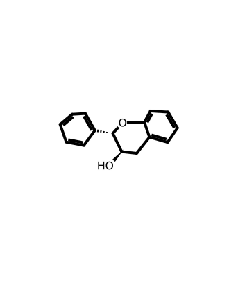 O[C@@H]1Cc2ccccc2O[C@H]1c1ccccc1